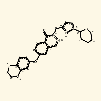 O=c1c2ccc(Sc3ccc4c(c3)OCCO4)cc2cnn1Cc1ccn(C2CCCCO2)n1